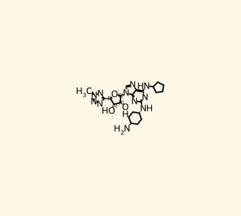 Cn1nnc([C@H]2O[C@@H](n3cnc4c(NC5CCCC5)nc(N[C@H]5CC[C@H](N)CC5)nc43)[C@H](O)[C@@H]2O)n1